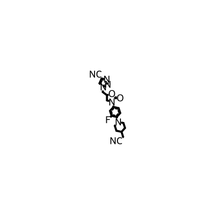 N#CCC1CCN(c2ccc(N3CC(Cn4cc(C#N)nn4)OC3=O)cc2F)CC1